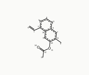 C=Cc1ncnc2cc(C)c(OC(C)=O)cc12